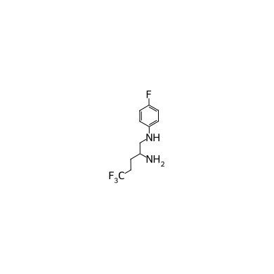 NC(CCC(F)(F)F)CNc1ccc(F)cc1